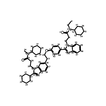 CCN(C(=O)CCn1c(-c2ccc(OCCc3ccc4nc(C5CCCCC5)n(CCC(=O)N(C)C5CCCCC5)c4c3)nc2)nc2ccccc21)C1CCCCC1